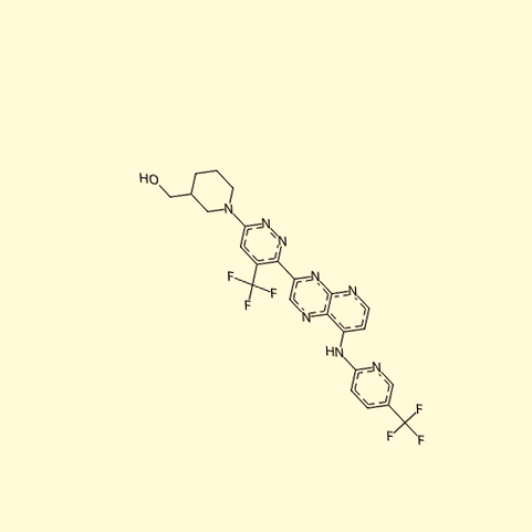 OCC1CCCN(c2cc(C(F)(F)F)c(-c3cnc4c(Nc5ccc(C(F)(F)F)cn5)ccnc4n3)nn2)C1